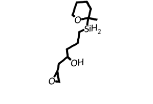 CC1([SiH2]CCCC(O)CC2CO2)CCCCO1